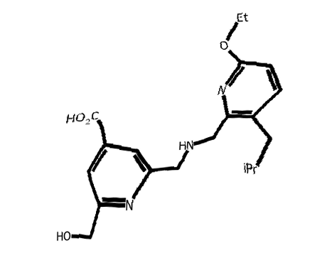 CCOc1ccc(CC(C)C)c(CNCc2cc(C(=O)O)cc(CO)n2)n1